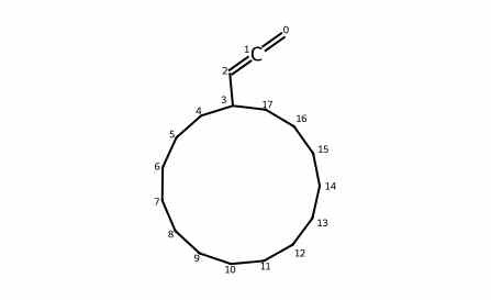 C=C=CC1CCCCCCCCCCCCCC1